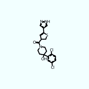 O=C(C1C=C(c2cn[nH]c2)SC1)N1CCC(O)(c2cc(Cl)ccc2Cl)CC1